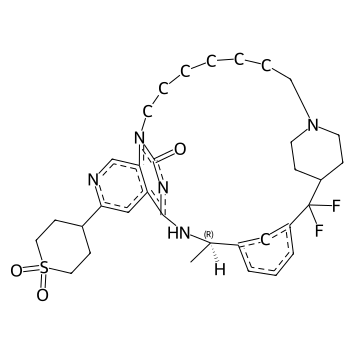 C[C@H]1Nc2nc(=O)n(c3cnc(C4CCS(=O)(=O)CC4)cc23)CCCCCCCN2CCC(CC2)C(F)(F)c2cccc1c2